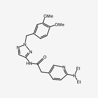 CCN(CC)c1ccc(CC(=O)Nc2cnn(Cc3ccc(OC)c(OC)c3)n2)cn1